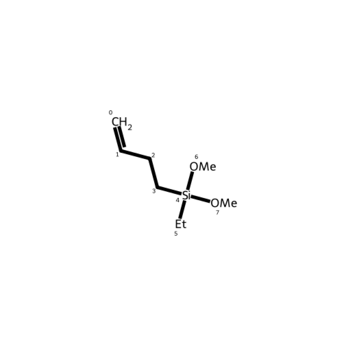 C=CCC[Si](CC)(OC)OC